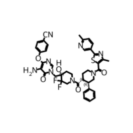 Cc1ccc(-c2nc(C)c(C(=O)N3CC[C@@H](C(=O)N4CC[C@](O)(Cn5cnc(Oc6ccc(C#N)cc6)c(N)c5=O)C(F)(F)C4)[C@H](c4ccccc4)C3)s2)cn1